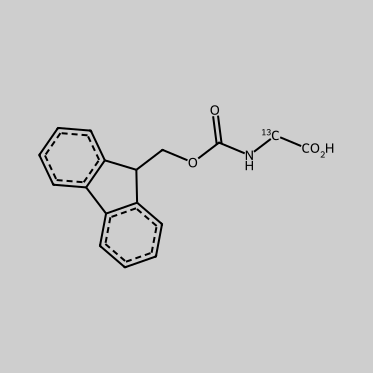 O=C(N[13CH2][13C](=O)O)OCC1c2ccccc2-c2ccccc21